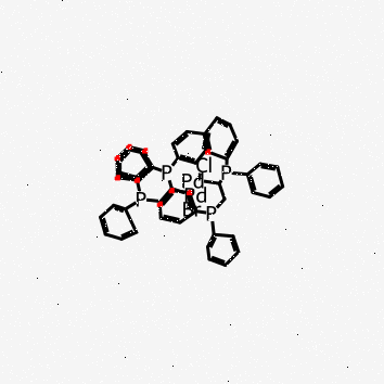 [Cl][Pd]([CH](CP(c1ccccc1)c1ccccc1)P(c1ccccc1)c1ccccc1)[Pd]([Br])[CH](CP(c1ccccc1)c1ccccc1)P(c1ccccc1)c1ccccc1